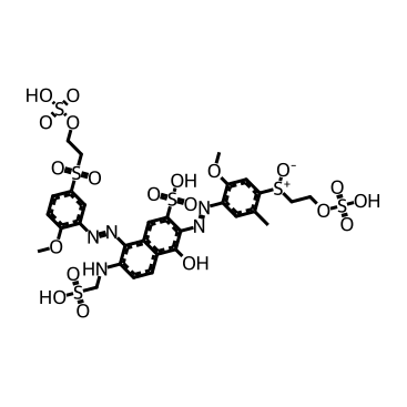 COc1cc([S+]([O-])CCOS(=O)(=O)O)c(C)cc1/N=N/c1c(S(=O)(=O)O)cc2c(/N=N/c3cc(S(=O)(=O)CCOS(=O)(=O)O)ccc3OC)c(NCS(=O)(=O)O)ccc2c1O